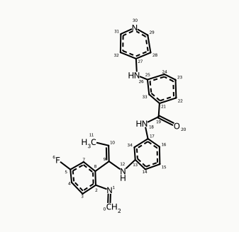 C=Nc1ccc(F)cc1/C(=C\C)Nc1cccc(NC(=O)c2cccc(Nc3ccncc3)c2)c1